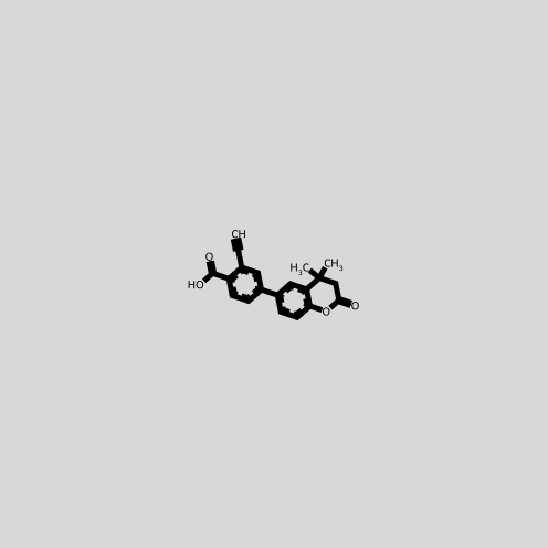 C#Cc1cc(-c2ccc3c(c2)C(C)(C)CC(=O)O3)ccc1C(=O)O